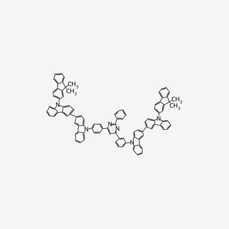 CC1(C)c2ccccc2-c2ccc(-n3c4ccccc4c4cc(-c5ccc6c(c5)c5ccccc5n6-c5ccc(-c6cc(-c7cccc(-n8c9ccccc9c9cc(-c%10ccc%11c(c%10)c%10ccccc%10n%11-c%10ccc%11c(c%10)C(C)(C)c%10ccccc%10-%11)ccc98)c7)nc(-c7ccccc7)n6)cc5)ccc43)cc21